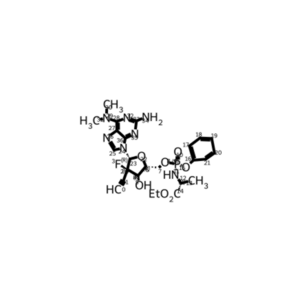 C#C[C@@]1(F)[C@H](O)[C@@H](CO[P@@](=O)(N[C@H](C)C(=O)OCC)Oc2ccccc2)O[C@H]1n1cnc2c(N(C)C)nc(N)nc21